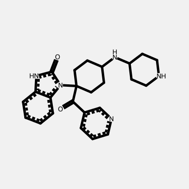 O=C(c1cccnc1)C1(n2c(=O)[nH]c3ccccc32)CCC(NC2CCNCC2)CC1